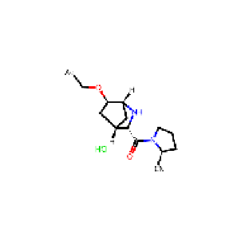 CC(=O)CO[C@@H]1C[C@@H]2C[C@H]1N[C@@H]2C(=O)N1CCC[C@H]1C#N.Cl